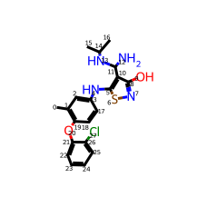 Cc1cc(Nc2snc(O)c2C(N)NC(C)C)ccc1Oc1ccccc1Cl